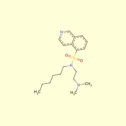 CCCCCCN(CCN(C)C)S(=O)(=O)c1cccc2cnccc12